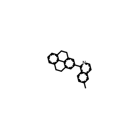 Cc1ccc2c(-c3cc4c5c(c3)CCc3cccc(c3-5)CC4)nccc2c1